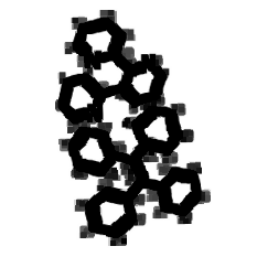 c1ccc(-c2cccnc2-c2ccccn2)nc1.c1ccc(C(=C(c2ccccc2)c2ccccc2)c2ccccc2)cc1